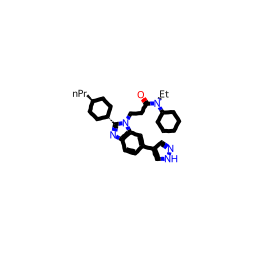 CCC[C@H]1CC[C@H](c2nc3ccc(-c4cn[nH]c4)cc3n2CCC(=O)N(CC)C2CCCCC2)CC1